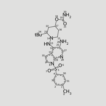 Cc1ccc(S(=O)(=O)n2ccc3c(NN4CCC(OC(N)=O)CC4C(C)(C)C)c(N)cnc32)cc1